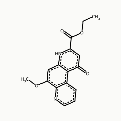 CCOC(=O)c1cc(=O)c2c(cc(OC)c3ncccc32)[nH]1